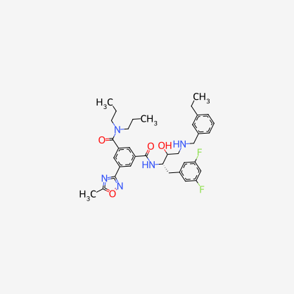 CCCN(CCC)C(=O)c1cc(C(=O)N[C@@H](Cc2cc(F)cc(F)c2)C(O)CNCc2cccc(CC)c2)cc(-c2noc(C)n2)c1